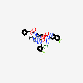 CN(C(=O)NCc1cccc(F)c1Cl)[C@@H](CNC(=O)OCc1ccccc1)COC(=O)Nc1cc2cc(F)ccc2cn1